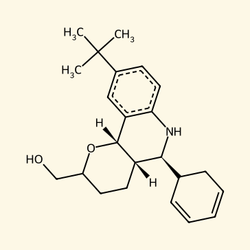 CC(C)(C)c1ccc2c(c1)[C@H]1OC(CO)CC[C@H]1[C@H](C1C=CC=CC1)N2